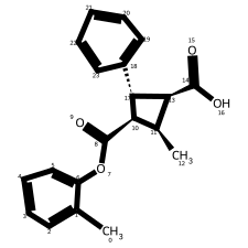 Cc1ccccc1OC(=O)[C@@H]1[C@H](C)[C@H](C(=O)O)[C@H]1c1ccccc1